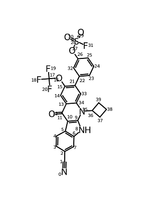 N#Cc1ccc2c(c1)[nH]c1c2c(=O)c2cc(OC(F)(F)F)c(-c3cccc(OS(=O)(=O)F)c3)cc2n1C1CCC1